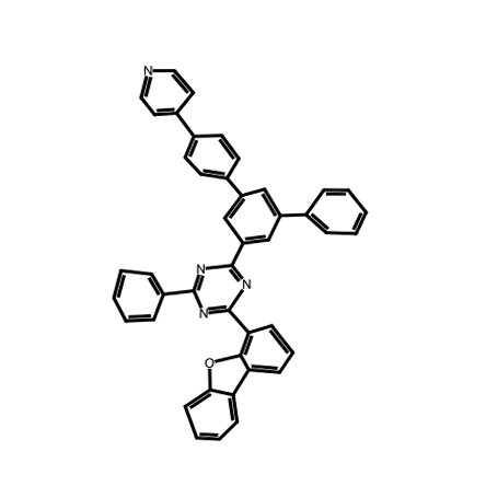 c1ccc(-c2cc(-c3ccc(-c4ccncc4)cc3)cc(-c3nc(-c4ccccc4)nc(-c4cccc5c4oc4ccccc45)n3)c2)cc1